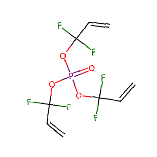 C=CC(F)(F)OP(=O)(OC(F)(F)C=C)OC(F)(F)C=C